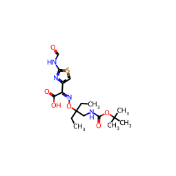 CCC(CC)(CNC(=O)OC(C)(C)C)ON=C(C(=O)O)c1csc(NC=O)n1